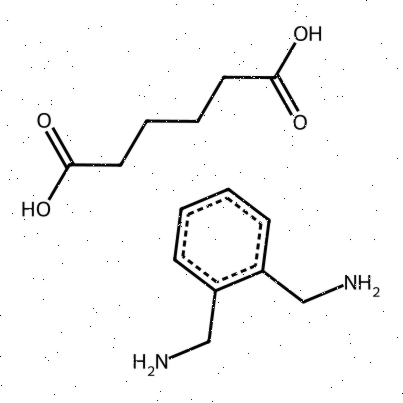 NCc1ccccc1CN.O=C(O)CCCCC(=O)O